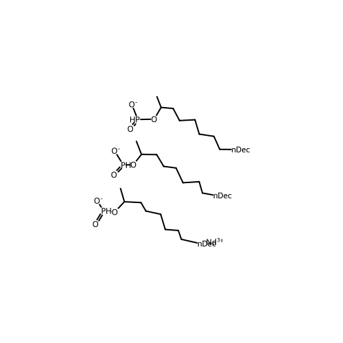 CCCCCCCCCCCCCCCCC(C)O[PH](=O)[O-].CCCCCCCCCCCCCCCCC(C)O[PH](=O)[O-].CCCCCCCCCCCCCCCCC(C)O[PH](=O)[O-].[Nd+3]